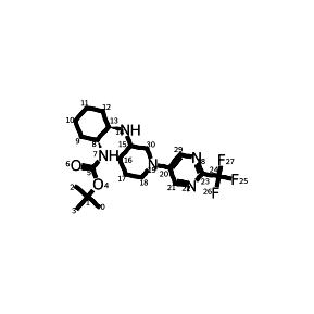 CC(C)(C)OC(=O)N[C@@H]1CCCC[C@H]1NC1CCCN(c2cnc(C(F)(F)F)nc2)C1